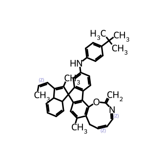 C=C1/N=C\C=C/Cc2c(C)cc3c(c2O1)-c1ccc(Nc2ccc(C(C)(C)C)cc2)cc1C31C(C)=C(/C=C\C)C2C=CC=CC21